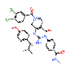 CNC(=O)c1ccc(-n2c(N[C@@H](c3ccc(OC)cc3)C(C)C)nc3c(c2=O)C[C@@H](C)N(C(=O)c2ccc(Cl)c(Cl)c2)C3)cc1